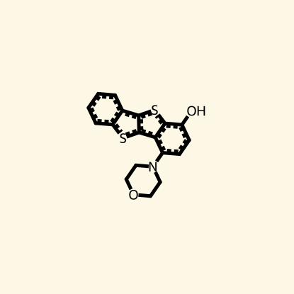 Oc1ccc(N2CCOCC2)c2c1sc1c3ccccc3sc12